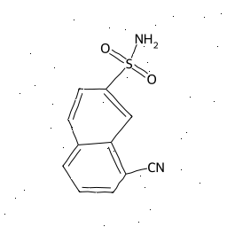 N#Cc1cccc2ccc(S(N)(=O)=O)cc12